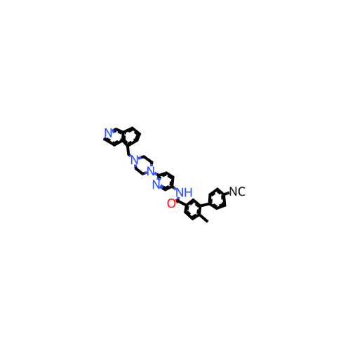 [C-]#[N+]c1ccc(-c2cc(C(=O)Nc3ccc(N4CCN(Cc5cccc6cnccc56)CC4)nc3)ccc2C)cc1